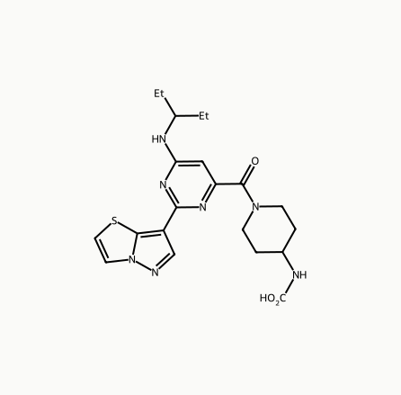 CCC(CC)Nc1cc(C(=O)N2CCC(NC(=O)O)CC2)nc(-c2cnn3ccsc23)n1